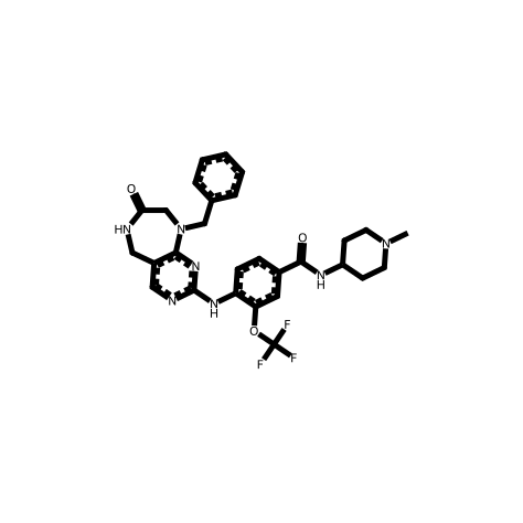 CN1CCC(NC(=O)c2ccc(Nc3ncc4c(n3)N(Cc3ccccc3)CC(=O)NC4)c(OC(F)(F)F)c2)CC1